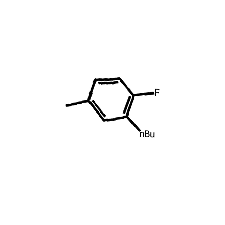 C[CH]CCc1cc(C)ccc1F